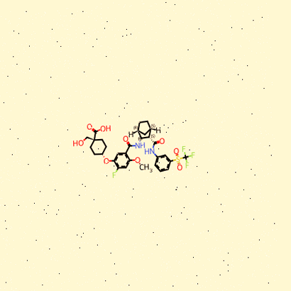 COc1cc(F)c(O[C@H]2CC[C@@](CO)(C(=O)O)CC2)cc1C(=O)N[C@@H]1[C@@H]2CC[C@@H](C2)[C@@H]1C(=O)Nc1cccc(S(=O)(=O)C(F)(F)F)c1